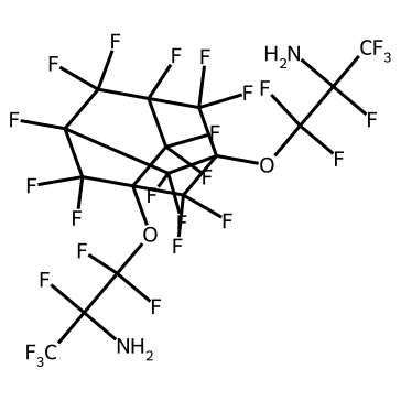 NC(F)(C(F)(F)F)C(F)(F)OC12C(F)(F)C3(F)C(F)(F)C(F)(C1(F)F)C(F)(F)C(OC(F)(F)C(N)(F)C(F)(F)F)(C3(F)F)C2(F)F